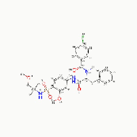 COCC(C)(C)NS(=O)(=O)c1ccc(NC(=O)C(Cc2ccccc2)N(C)C(=O)c2ccc(F)cc2)cc1OC